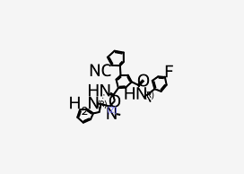 C/N=C(\OC(=N)c1cc(C(=O)N[C@H](C)c2ccc(F)cc2)cc(-c2ccccc2C#N)c1)[C@](C)(N)Cc1ccccc1